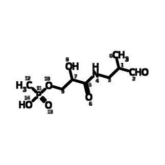 CC(C=O)CNC(=O)C(O)COP(C)(=O)O